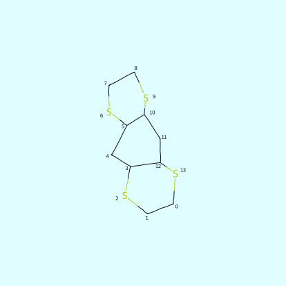 C1CSC2CC3SCCSC3CC2S1